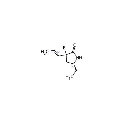 C/C=C/C1(F)C[C@H](CC)NC1=O